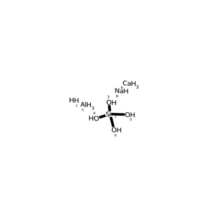 O[Si](O)(O)O.[AlH3].[CaH2].[HH].[NaH]